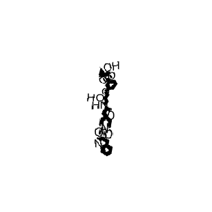 O=S(=O)(c1cnc2ccccc2c1)N1CCC2(CC1)C[C@@H](NC[C@H](O)COc1cccc(S(=O)(=O)C3(CO)CC3)c1)CO2